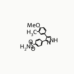 COc1ccc(-c2c[nH]nc2-c2ccc(S(N)(=O)=O)cc2)cc1C